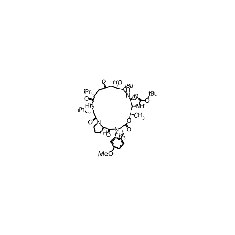 CC[C@H](C)[C@H]1NC(=O)[C@@H](NC(=O)OC(C)(C)C)[C@@H](C)OC(=O)[C@H](Cc2ccc(OC)cc2)N(C)C(=O)[C@@H]2CCCN2C(=O)[C@H](CC(C)C)NC(=O)[C@H](C(C)C)CC(=O)C[C@@H]1O